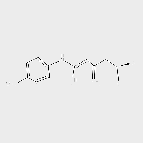 C=C(/C=C(\C)Nc1ccc(OC)cc1)C[C@H](C)C(C)CC